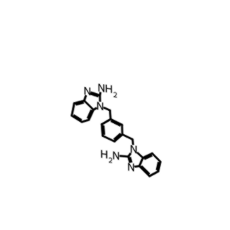 Nc1nc2ccccc2n1Cc1cccc(Cn2c(N)nc3ccccc32)c1